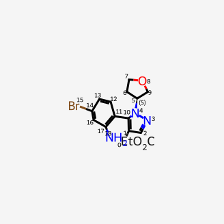 CCOC(=O)c1cnn([C@H]2CCOC2)c1-c1ccc(Br)cc1N